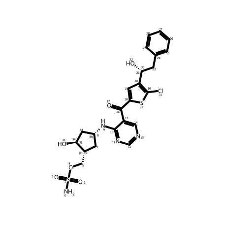 NS(=O)(=O)OC[C@H]1C[C@@H](Nc2ncncc2C(=O)c2cc([C@H](O)Cc3ccccc3)c(Cl)s2)C[C@@H]1O